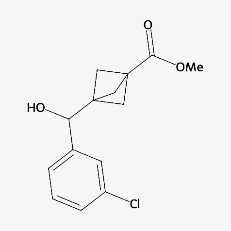 COC(=O)C12CC(C(O)c3cccc(Cl)c3)(C1)C2